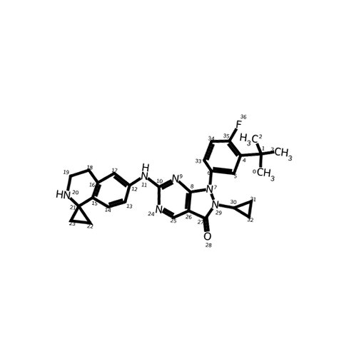 CC(C)(C)c1cc(-n2c3nc(Nc4ccc5c(c4)CCNC54CC4)ncc3c(=O)n2C2CC2)ccc1F